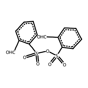 O=Cc1ccccc1S(=O)(=O)OS(=O)(=O)c1ccccc1C=O